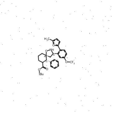 Cc1ccc(-c2ccc(OC(F)(F)F)cc2[C@H]2C[C@@]3(CCCC(C(=O)OC(C)(C)C)[C@H]3c3ccccc3)ON2)o1